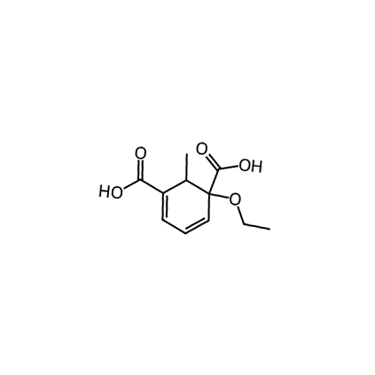 CCOC1(C(=O)O)C=CC=C(C(=O)O)C1C